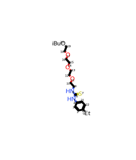 CCc1ccc(NC(=S)NCCOCCOCCOCCOCC(C)C)cc1